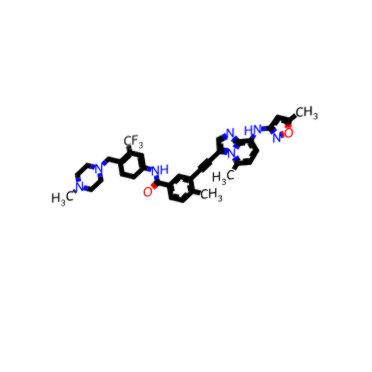 Cc1cc(Nc2ccc(C)n3c(C#Cc4cc(C(=O)NC5=CC(C(F)(F)F)=C(CN6CCN(C)CC6)CC5)ccc4C)cnc23)no1